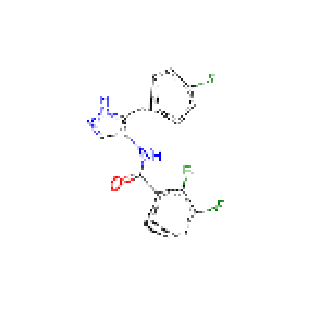 O=C(Nc1cn[nH]c1-c1ccc(F)cc1)c1cccc(F)c1F